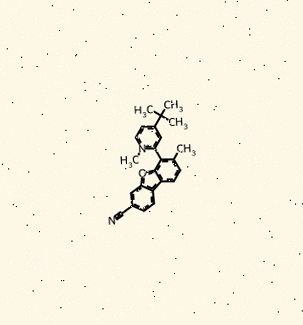 Cc1ccc2c(oc3cc(C#N)ccc32)c1-c1cc(C(C)(C)C)cc[n+]1C